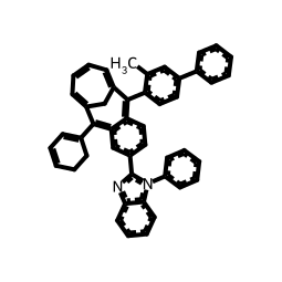 Cc1cc(-c2ccccc2)ccc1C1=c2ccc(-c3nc4ccccc4n3-c3ccccc3)cc2=C(C2=CC=CCC2)C2=CC=CC=C1C2